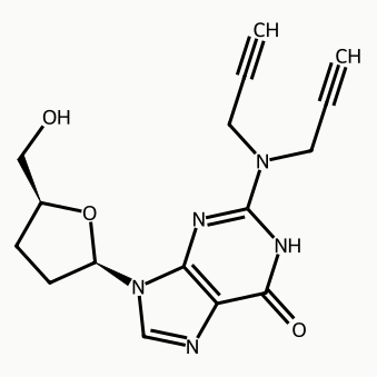 C#CCN(CC#C)c1nc2c(ncn2[C@H]2CC[C@@H](CO)O2)c(=O)[nH]1